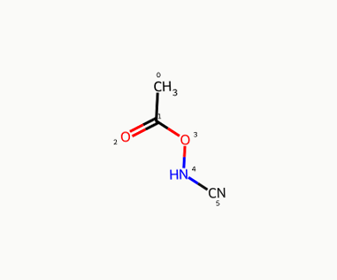 CC(=O)ONC#N